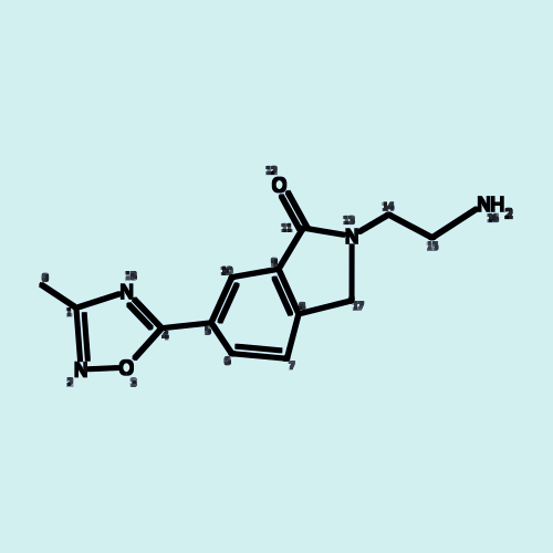 Cc1noc(-c2ccc3c(c2)C(=O)N(CCN)C3)n1